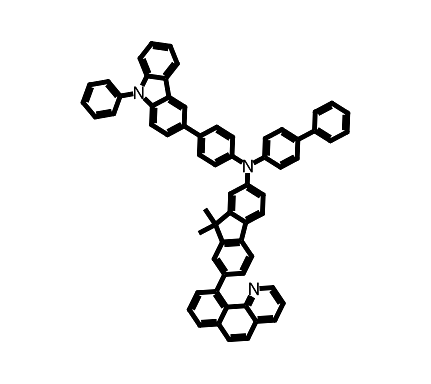 CC1(C)c2cc(-c3cccc4ccc5cccnc5c34)ccc2-c2ccc(N(c3ccc(-c4ccccc4)cc3)c3ccc(-c4ccc5c(c4)c4ccccc4n5-c4ccccc4)cc3)cc21